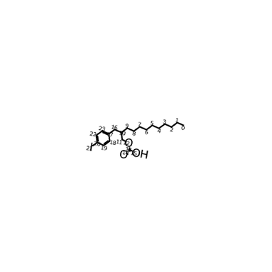 CCCCCCCCCCC(COC(=O)O)Cc1ccc(I)cc1